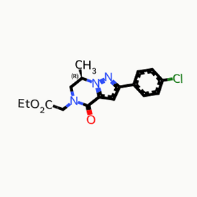 CCOC(=O)CN1C[C@@H](C)n2nc(-c3ccc(Cl)cc3)cc2C1=O